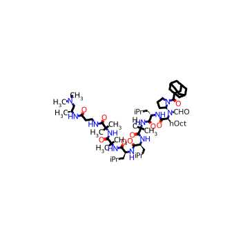 CCCCCCCC[C@@H](C(=O)N[C@@H](CC(C)C)C(=O)NC(C)(C)C(=O)N[C@@H](CC(C)C)C(=O)N[C@@H](CC(C)C)C(=O)NC(C)(C)C(=O)NC(C)(C)C(=O)NCCC(=O)N[C@@H](C)CN(C)C)N(C=O)[C@@H]1CCCN1C(=O)C12CC3CC(CC(C3)C1)C2